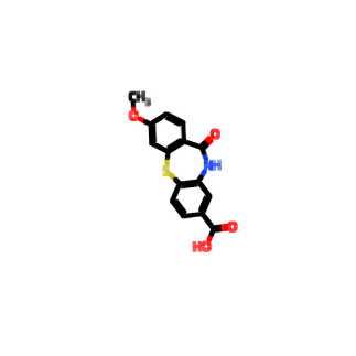 COc1ccc2c(c1)Sc1ccc(C(=O)O)cc1NC2=O